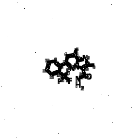 Cc1nc2c(C)cc(-c3ccccc3C(F)(F)F)nn2c1C(N)=O